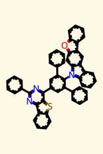 c1ccc(-c2nc(-c3cc(-c4ccccc4)c(-n4c5ccccc5c5cc6c(cc54)oc4ccccc46)c(-c4ccccc4)c3)c3sc4ccccc4c3n2)cc1